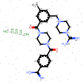 Cl.Cl.Cl.Cl.Cl.N=C(N)c1ccc(C(=O)N2CCN(C(=O)c3cc(CN4CCN(C(=N)N)CC4)cc([N+](=O)[O-])c3)CC2)cc1